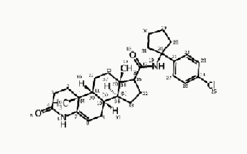 C[C@]12CCC(=O)NC1=CC[C@@H]1[C@H]2CC[C@]2(C)C(C(=O)NC3(c4ccc(Cl)cc4)CCCC3)CC[C@@H]12